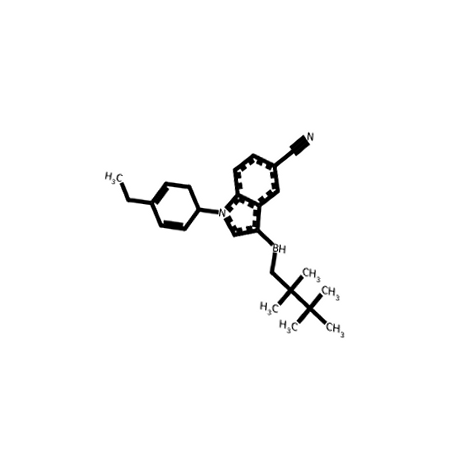 CCC1=CCC(n2cc(BCC(C)(C)C(C)(C)C)c3cc(C#N)ccc32)C=C1